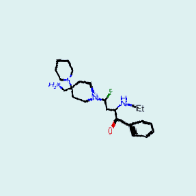 CCNC(CC(F)N1CCC(CN)(N2CCCCC2)CC1)C(=O)c1ccccc1